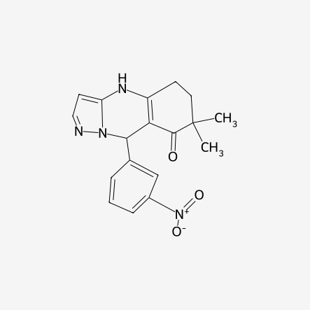 CC1(C)CCC2=C(C1=O)C(c1cccc([N+](=O)[O-])c1)n1nccc1N2